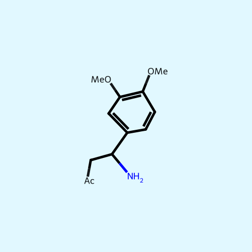 COc1ccc(C(N)CC(C)=O)cc1OC